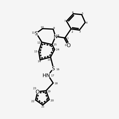 O=C(C1=CCCC=C1)N1CCSc2ccc(SNCc3ccco3)cc21